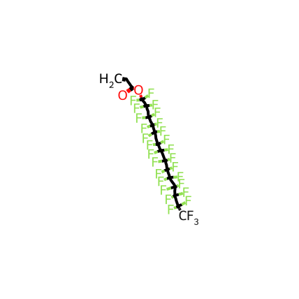 C=CC(=O)OC(F)(F)C(F)(F)C(F)(F)C(F)(F)C(F)(F)C(F)(F)C(F)(F)C(F)(F)C(F)(F)C(F)(F)C(F)(F)C(F)(F)C(F)(F)C(F)(F)F